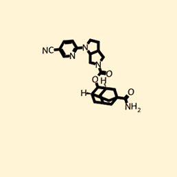 N#Cc1ccc(N2CCC3CN(C(=O)OC4[C@@H]5CC6C[C@H]4CC(C(N)=O)(C6)C5)CC32)nc1